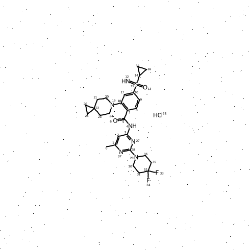 Cc1cc(NC(=O)c2ccc(S(=N)(=O)C3CC3)cc2N2CCC3(CC2)CC3)nc(N2CCC(F)(F)CC2)n1.Cl